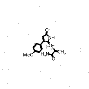 C=C(C)C(N)=O.COc1ccc(C2=CC(=O)NC2=O)cc1